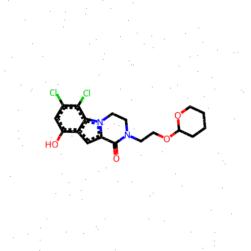 O=C1c2cc3c(O)cc(Cl)c(Cl)c3n2CCN1CCOC1CCCCO1